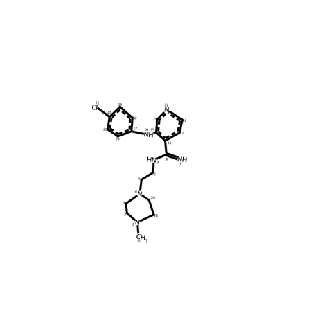 CN1CCN(CCNC(=N)c2ccncc2Nc2ccc(Cl)cc2)CC1